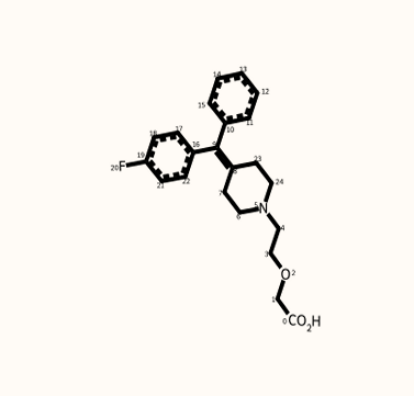 O=C(O)COCCN1CCC(=C(c2ccccc2)c2ccc(F)cc2)CC1